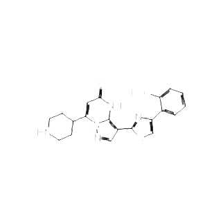 Cc1ccccc1-c1csc(-c2cnn3c(C4CCNCC4)cc(=O)[nH]c23)n1